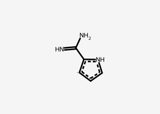 N=C(N)c1[c]cc[nH]1